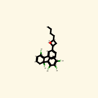 CCCCC12CC(c3cccc(C4=C(F)C=CCC4(F)c4ccc(F)c(F)c4F)c3)(C1)C2